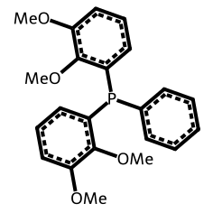 COc1cccc(P(c2ccccc2)c2cccc(OC)c2OC)c1OC